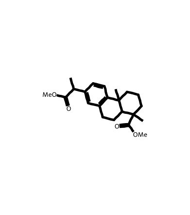 COC(=O)C(C)c1ccc2c(c1)CCC1C(C)(C(=O)OC)CCCC21C